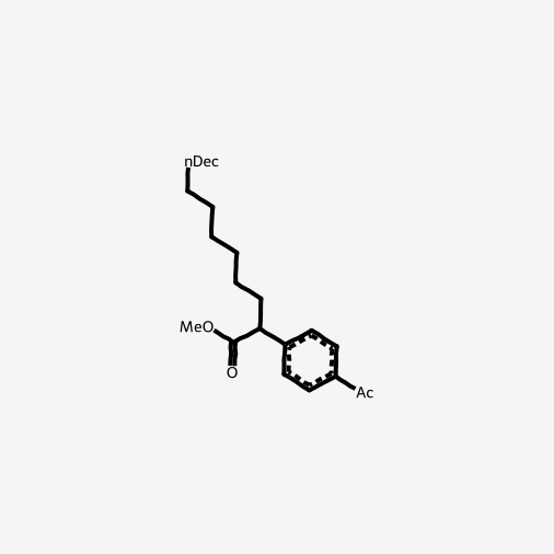 CCCCCCCCCCCCCCCCC(C(=O)OC)c1ccc(C(C)=O)cc1